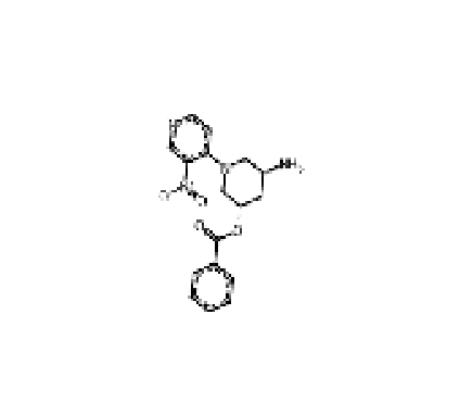 N[C@H]1C[C@H](OC(=O)c2ccccc2)CN(c2ccncc2[N+](=O)[O-])C1